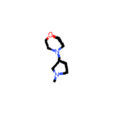 CN1CCC(N2CCOCC2)C1